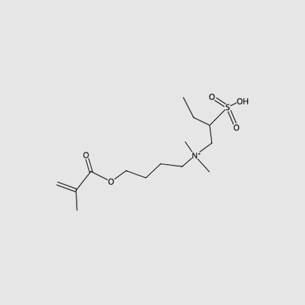 C=C(C)C(=O)OCCCC[N+](C)(C)CC(CC)S(=O)(=O)O